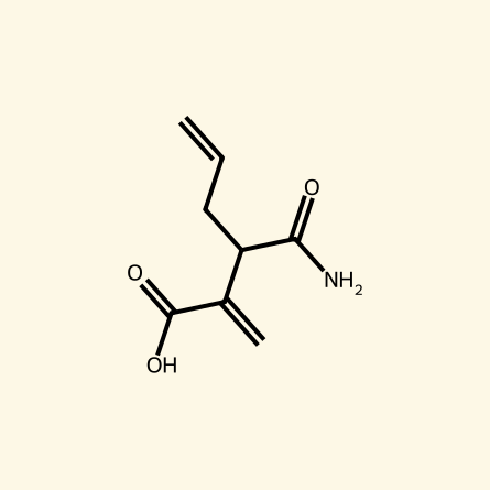 C=CCC(C(=C)C(=O)O)C(N)=O